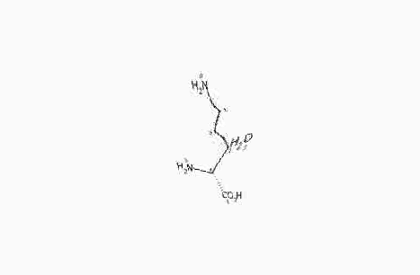 NCCC[C@@H](N)C(=O)O.O